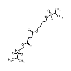 CC(C)S(=O)(=O)NCCCCOC(=O)/C=C/C(=O)OCNS(=O)(=O)C(C)C